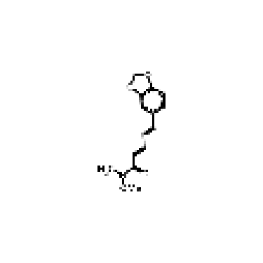 CON(C)C(=O)C=CC=Cc1ccc2c(c1)OCO2